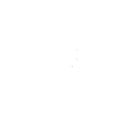 CCN1CCN(c2nc(CCc3ccccc3OCCO)cc3ccccc23)CC1